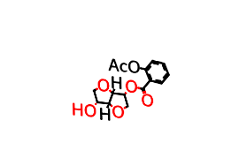 CC(=O)Oc1ccccc1C(=O)O[C@H]1CO[C@H]2[C@@H]1OC[C@H]2O